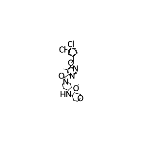 CO[C@@H]1COCC[C@@H]1NC1CCN(C(=O)c2ncnc(OCc3ccc(Cl)c(Cl)c3)c2C)CC1